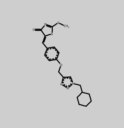 CSC1=NC(=O)C(=Cc2ccc(OCc3cn(CC4CCCCC4)nn3)cc2)S1